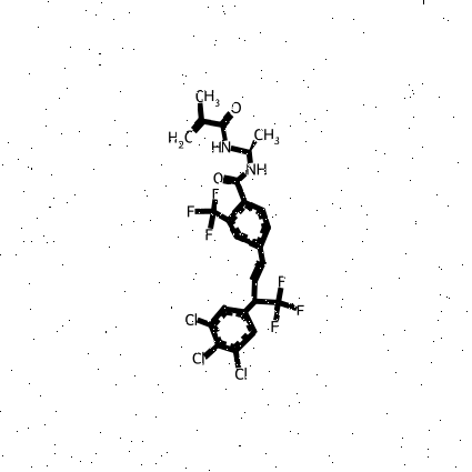 C=C(C)C(=O)N[C@@H](C)NC(=O)c1ccc(/C=C/C(c2cc(Cl)c(Cl)c(Cl)c2)C(F)(F)F)cc1C(F)(F)F